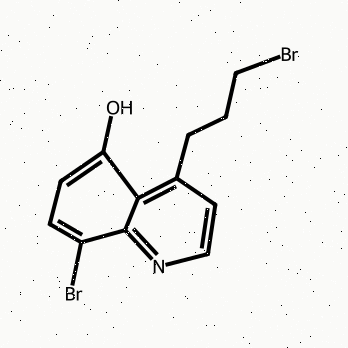 Oc1ccc(Br)c2nccc(CCCBr)c12